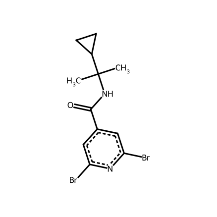 CC(C)(NC(=O)c1cc(Br)nc(Br)c1)C1CC1